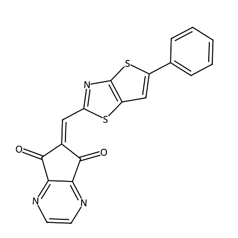 O=C1C(=Cc2nc3sc(-c4ccccc4)cc3s2)C(=O)c2nccnc21